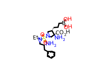 CCN(C[C@H](N)Cc1ccccc1)S(=O)(=O)N1C[C@H](CCCB(O)O)[C@](N)(C(=O)O)C1